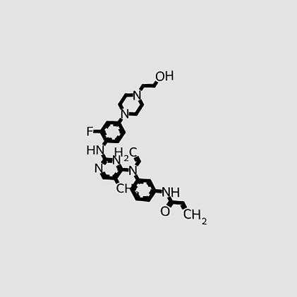 C=CC(=O)Nc1cccc(N(C=C)c2nc(Nc3ccc(N4CCN(CCO)CC4)cc3F)ncc2C)c1